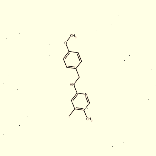 COc1ccc(CNc2cc(I)c(C)cn2)cc1